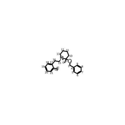 CC1(OCc2ccccc2)CCCCN1CCc1ccccc1F